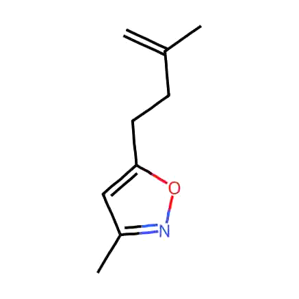 C=C(C)CCc1cc(C)no1